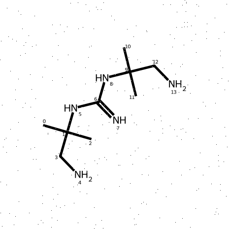 CC(C)(CN)NC(=N)NC(C)(C)CN